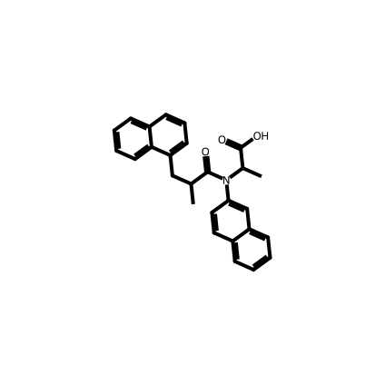 CC(Cc1cccc2ccccc12)C(=O)N(c1ccc2ccccc2c1)C(C)C(=O)O